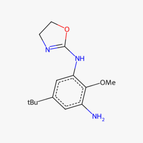 COc1c(N)cc(C(C)(C)C)cc1NC1=NCCO1